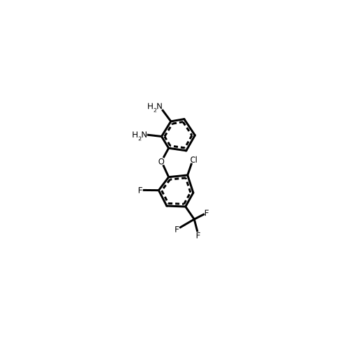 Nc1cccc(Oc2c(F)cc(C(F)(F)F)cc2Cl)c1N